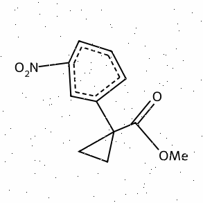 COC(=O)C1(c2cccc([N+](=O)[O-])c2)CC1